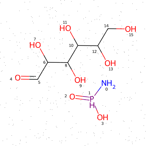 N[PH](=O)O.O=CC(O)C(O)C(O)C(O)CO